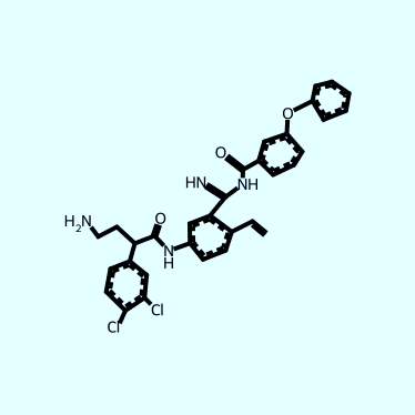 C=Cc1ccc(NC(=O)C(CCN)c2ccc(Cl)c(Cl)c2)cc1C(=N)NC(=O)c1cccc(Oc2ccccc2)c1